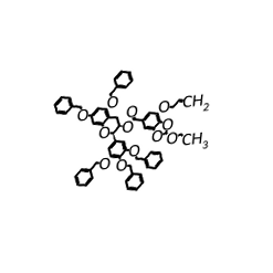 C=CCOc1cc(C(=O)O[C@@H]2Cc3c(OCc4ccccc4)cc(OCc4ccccc4)cc3O[C@@H]2c2cc(OCc3ccccc3)c(OCc3ccccc3)c(OCc3ccccc3)c2)cc2c1OC(OCC)O2